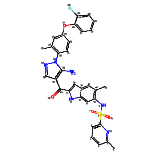 Cc1cccc(S(=O)(=O)Nc2cc3[nH]c(C(=O)c4cnn(-c5ccc(Oc6ccccc6F)cc5C)c4N)cc3cc2C)n1